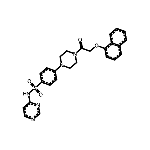 O=C(COc1cccc2ccccc12)N1CCN(c2ccc(S(=O)(=O)Nc3ccncn3)cc2)CC1